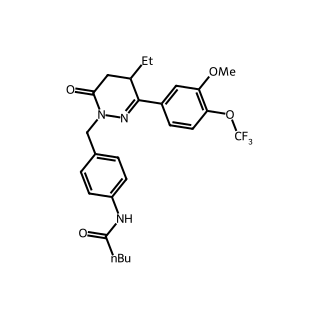 CCCCC(=O)Nc1ccc(CN2N=C(c3ccc(OC(F)(F)F)c(OC)c3)C(CC)CC2=O)cc1